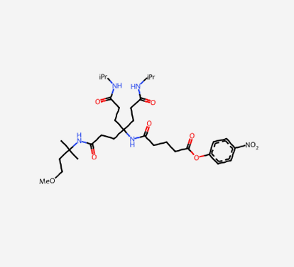 COCCC(C)(C)NC(=O)CCC(CCC(=O)NC(C)C)(CCC(=O)NC(C)C)NC(=O)CCCC(=O)Oc1ccc([N+](=O)[O-])cc1